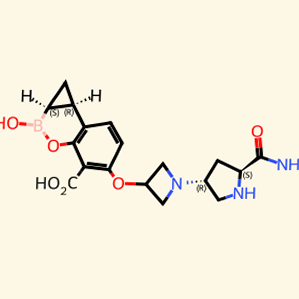 NC(=O)[C@@H]1C[C@@H](N2CC(Oc3ccc4c(c3C(=O)O)OB(O)[C@H]3C[C@@H]43)C2)CN1